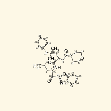 CCC[C@H](NC(=O)C(CC(=O)N1CCOCC1)CC(C)(C)Cc1ccccc1)C(=O)c1nc2ccccc2o1